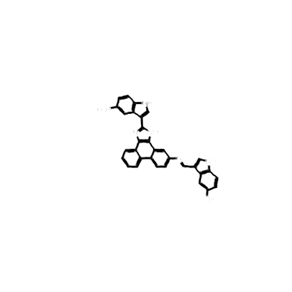 Bc1ccc2[nH]cc(-c3nc4c5ccccc5c5ccc(N=Cc6c[nH]c7ccc(C)cc67)cc5c4[nH]3)c2c1